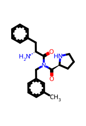 Cc1cccc(CN(C(=O)[C@H](N)Cc2ccccc2)C(=O)[C@@H]2CCCN2)c1